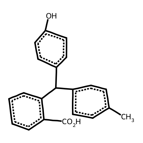 Cc1ccc(C(c2ccc(O)cc2)c2ccccc2C(=O)O)cc1